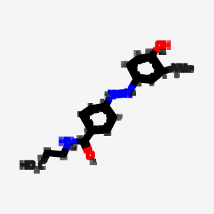 CNc1cc(/N=N/c2ccc(C(=O)NCCC(=O)O)cc2)ccc1O